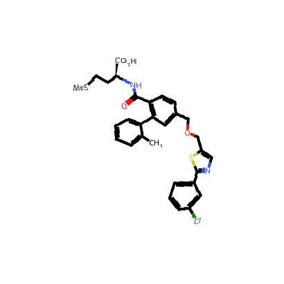 CSCC[C@H](NC(=O)c1ccc(COCc2cnc(-c3cccc(Cl)c3)s2)cc1-c1ccccc1C)C(=O)O